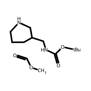 CC(C)(C)OC(=O)NCC1CCCNC1.COC=O